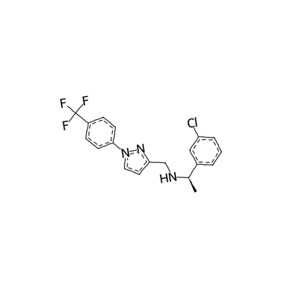 C[C@@H](NCc1ccn(-c2ccc(C(F)(F)F)cc2)n1)c1cccc(Cl)c1